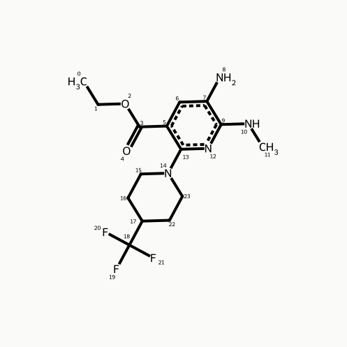 CCOC(=O)c1cc(N)c(NC)nc1N1CCC(C(F)(F)F)CC1